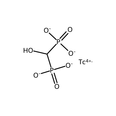 O=P([O-])([O-])C(O)P(=O)([O-])[O-].[Tc+4]